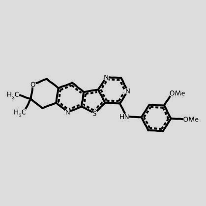 COc1ccc(Nc2ncnc3c2sc2nc4c(cc23)COC(C)(C)C4)cc1OC